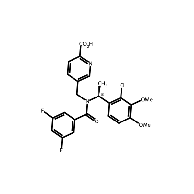 COc1ccc([C@H](C)N(Cc2ccc(C(=O)O)nc2)C(=O)c2cc(F)cc(F)c2)c(Cl)c1OC